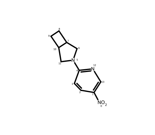 O=[N+]([O-])c1ccc(N2CC3CCC3C2)nc1